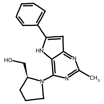 Cc1nc(N2CCC[C@H]2CO)c2[nH]c(-c3ccccc3)cc2n1